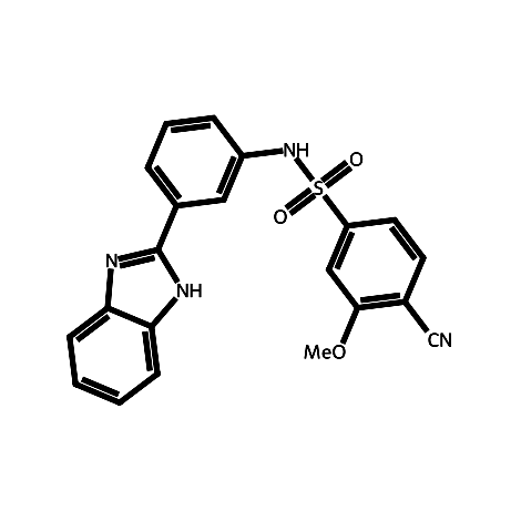 COc1cc(S(=O)(=O)Nc2cccc(-c3nc4ccccc4[nH]3)c2)ccc1C#N